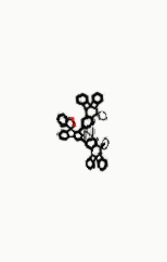 O=C1c2cc3c(cc2C2c4ccccc4C24c2ccccc2C14)c1cc2c(c4c5cc6c(cc5n3c14)C(=O)C1c3ccccc3C13c1ccccc1C63)C1(c3ccccc3-c3ccccc31)c1ccccc1-2